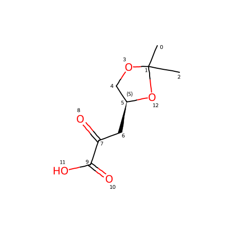 CC1(C)OC[C@H](CC(=O)C(=O)O)O1